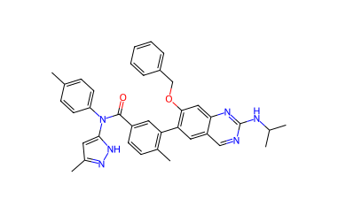 Cc1ccc(N(C(=O)c2ccc(C)c(-c3cc4cnc(NC(C)C)nc4cc3OCc3ccccc3)c2)c2cc(C)n[nH]2)cc1